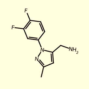 Cc1cc(CN)n(-c2ccc(F)c(F)c2)n1